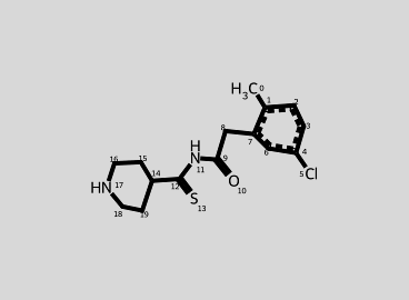 Cc1ccc(Cl)cc1CC(=O)NC(=S)C1CCNCC1